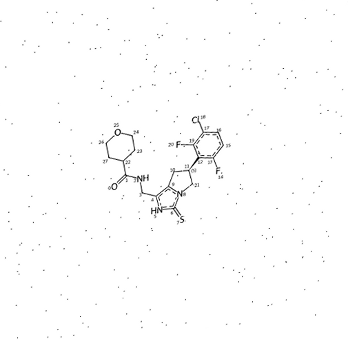 O=C(NCc1[nH]c(=S)n2c1C[C@@H](c1c(F)ccc(Cl)c1F)C2)C1CCOCC1